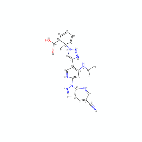 CC(C)Nc1cc(-n2ncc3cc(C#N)cnc32)ncc1-c1cn(C2(C)C=CC=CC2C(=O)O)nn1